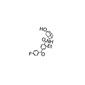 CCc1cc(C(=O)c2ccc(F)cc2)ccc1C(=O)NC1C2CC3CC1CC(O)(C3)C2